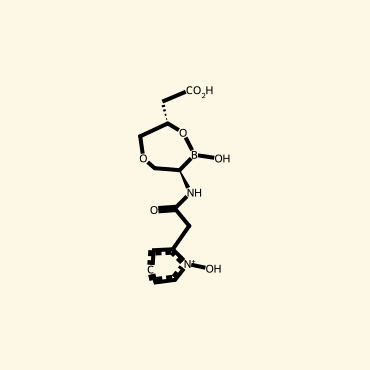 O=C(O)C[C@H]1COC[C@H](NC(=O)Cc2cccc[n+]2O)B(O)O1